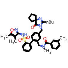 CCCCC1=NC2(CCCC2)C(=O)N1Cc1ccc(-c2ccccc2S(=O)(=O)Nc2noc(C)c2C)c(CN(C)C(=O)c2cccc(C)c2)c1